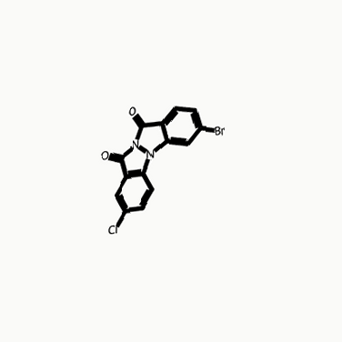 O=c1c2cc(Cl)ccc2n2c3cc(Br)ccc3c(=O)n12